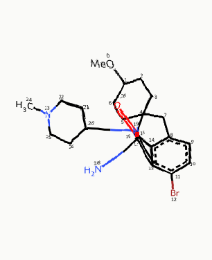 COC1CCC2(CC1)Cc1ccc(Br)cc1C21N=C(N)N(C2CCN(C)CC2)C1=O